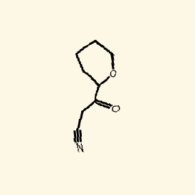 N#CCC(=O)C1CCCCO1